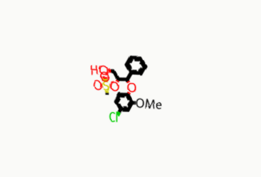 COc1cc(Cl)ccc1OC(c1ccccc1)C(CO)OS(C)(=O)=O